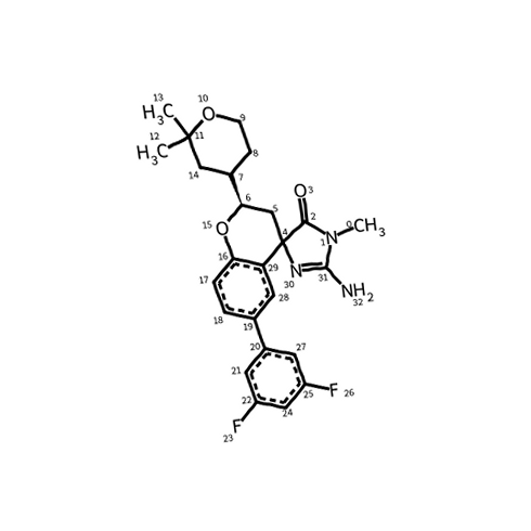 CN1C(=O)C2(C[C@H](C3CCOC(C)(C)C3)Oc3ccc(-c4cc(F)cc(F)c4)cc32)N=C1N